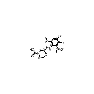 COc1cc(Br)c(F)c([N+](=O)[O-])c1NC[C@@H]1CN(C(=O)O)CCO1